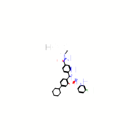 O=C(O)CCNC(=O)c1ccc(C(NC(=O)Nc2cccc(Cl)c2)c2ccc(C3CCCCC3)cc2)cc1